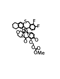 COC(=O)OCOc1c2n(ccc1=O)N([C@@H]1c3cc4c(cc3SCc3c1ccc(F)c3F)CCCC4)[C@@H]1COCCN1C2=O